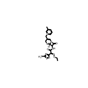 CCON=C(C(=O)NC1C(=O)N2C=C(C[n+]3cccc(C)c3)CS[C@@H]12)c1nsc(N)n1